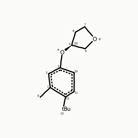 Cc1cc(O[C@H]2CCOC2)ccc1C(C)(C)C